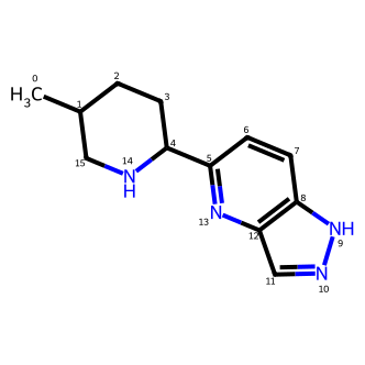 CC1CCC(c2ccc3[nH]ncc3n2)NC1